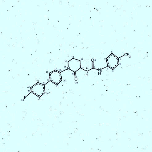 O=C(Nc1ccc(C(F)(F)F)cc1)NC1CCCN(c2ccc(-c3ccc(F)cc3)cc2)C1=O